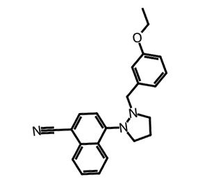 CCOc1cccc(CN2CCCN2c2ccc(C#N)c3ccccc23)c1